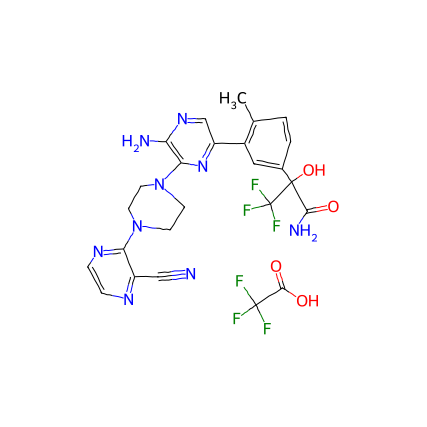 Cc1ccc(C(O)(C(N)=O)C(F)(F)F)cc1-c1cnc(N)c(N2CCN(c3nccnc3C#N)CC2)n1.O=C(O)C(F)(F)F